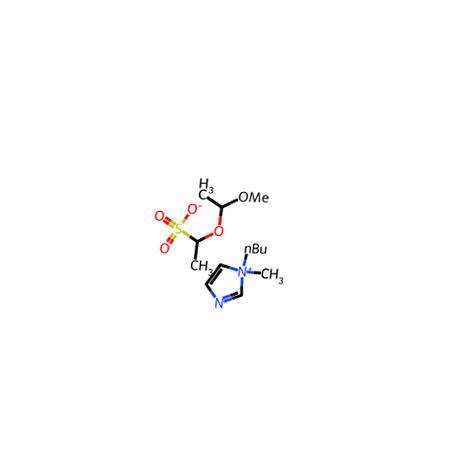 CCCC[N+]1(C)C=CN=C1.COC(C)OC(C)S(=O)(=O)[O-]